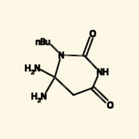 CCCCN1C(=O)NC(=O)CC1(N)N